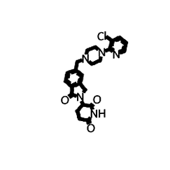 O=C1CCC(N2Cc3cc(CN4CCN(c5ncccc5Cl)CC4)ccc3C2=O)C(=O)N1